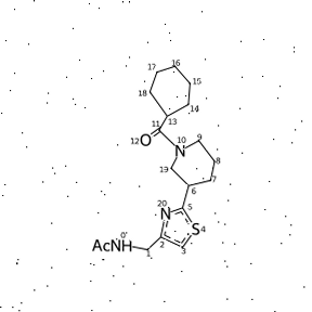 CC(=O)NCc1csc(C2CCCN(C(=O)C3CCCCC3)C2)n1